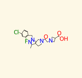 Cc1nn(Cc2ccc(Cl)cc2F)c2c1CCN(C(=O)CN1CC(C(=O)O)C1)C2